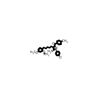 COc1ccc(CCCCCc2c(C(=O)c3ccc(C)cc3)nn(-c3ccc(Cl)cc3)c2N)c(OC)c1